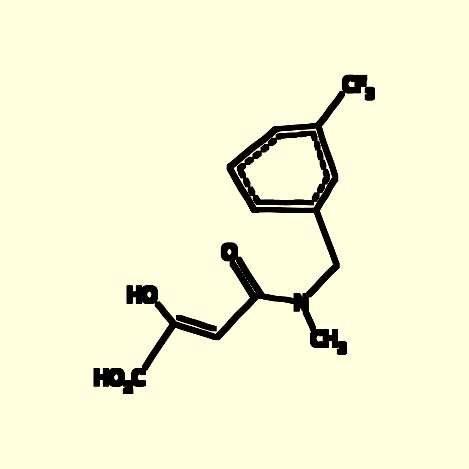 CN(Cc1cccc(C(F)(F)F)c1)C(=O)/C=C(\O)C(=O)O